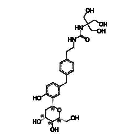 O=C(NCCc1ccc(Cc2ccc(O)c([C@H]3C[C@@H](O)[C@H](O)[C@@H](CO)O3)c2)cc1)NC(CO)(CO)CO